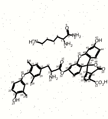 NCCCC[C@H](N)C(N)=O.N[C@@H](Cc1cc(I)c(Oc2ccc(O)c(I)c2)c(I)c1)C(=O)Oc1ccc2c(c1)Oc1cc(O)ccc1C21OC(=O)c2c(C(=O)O)cccc21